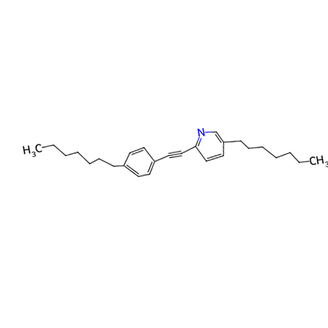 CCCCCCCc1ccc(C#Cc2ccc(CCCCCCC)cn2)cc1